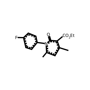 CCOC(=O)c1c(C)cc(C)n(-c2ccc(F)cc2)c1=O